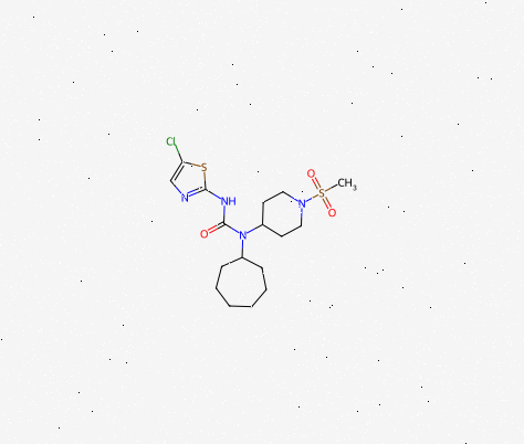 CS(=O)(=O)N1CCC(N(C(=O)Nc2ncc(Cl)s2)C2CCCCCC2)CC1